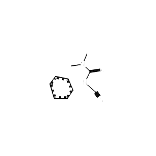 CN(C)C(=O)NC#N.c1ccccc1